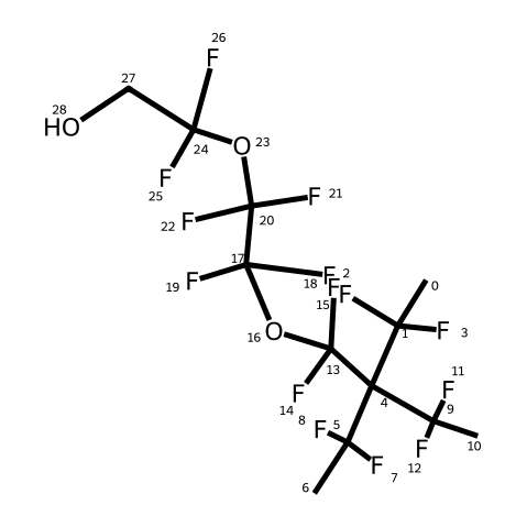 CC(F)(F)C(C(C)(F)F)(C(C)(F)F)C(F)(F)OC(F)(F)C(F)(F)OC(F)(F)CO